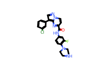 O=C(Nc1ccc(N2CCNCC2)c(F)c1)c1ccn2ncc(-c3cccc(Cl)c3)c2n1